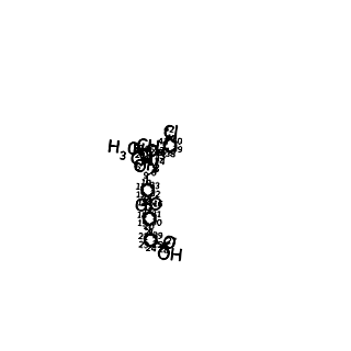 CC(C)(C)OC(=O)N(CCc1ccc(S(=O)(=O)c2ccc(-c3cccc(C(=O)O)c3)cc2)cc1)C[C@H](O)c1cccc(Cl)c1